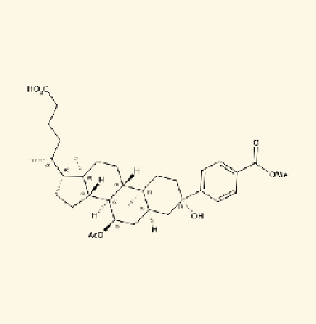 COC(=O)c1ccc([C@]2(O)CC[C@@]3(C)[C@H](C[C@@H](OC(C)=O)[C@@H]4[C@@H]3CC[C@]3(C)[C@@H]([C@H](C)CCCC(=O)O)CC[C@@H]43)C2)cc1